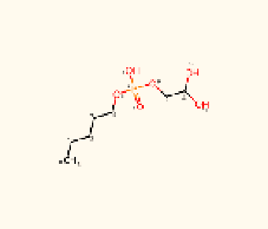 CCCCCOP(=O)(O)OCC(O)O